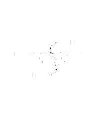 CCCCCCCCCCCCCCCCCCC(CCCCCCCCCCCCCCCCCC)(CC(CCCCCCCCC)SC(CCCCCCCCC)CCOC(=O)C(C)SC(C)C(=O)O)OC(=O)C(C)SC(C)C(=O)O